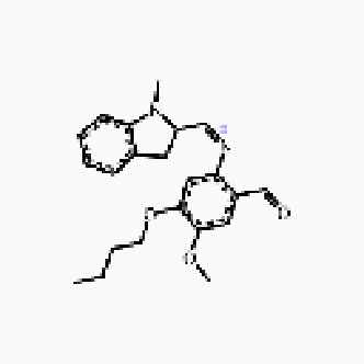 CCCCOc1cc(/N=C\C2Cc3ccccc3N2C)c(C=O)cc1OC